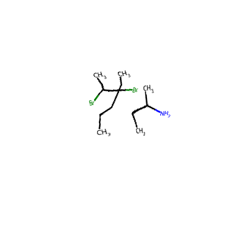 CCC(C)N.CCCC(C)(Br)C(C)Br